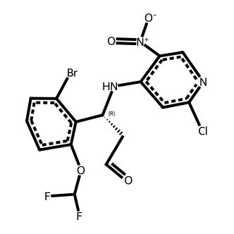 O=CC[C@@H](Nc1cc(Cl)ncc1[N+](=O)[O-])c1c(Br)cccc1OC(F)F